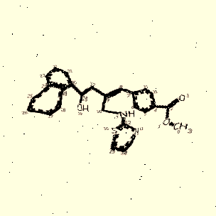 COC(=O)c1ccc(C=C(CNc2nccs2)CC(O)c2cccc3ccccc23)cc1